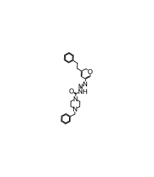 O=C(NN=NC1=COCC(CCc2ccccc2)=C1)N1CCN(Cc2ccccc2)CC1